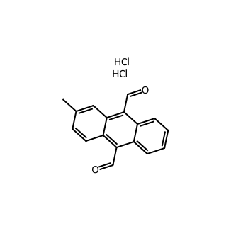 Cc1ccc2c(C=O)c3ccccc3c(C=O)c2c1.Cl.Cl